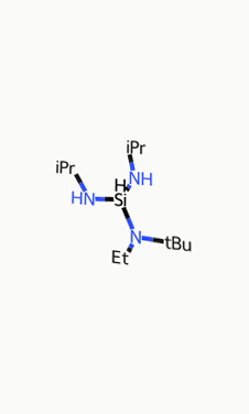 CCN([SiH](NC(C)C)NC(C)C)C(C)(C)C